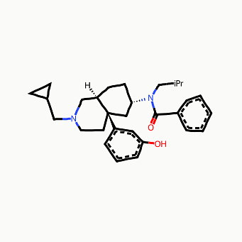 CC(C)CN(C(=O)c1ccccc1)[C@H]1CC[C@@H]2CN(CC3CC3)CC[C@@]2(c2cccc(O)c2)C1